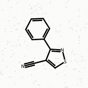 N#Cc1[c]snc1-c1ccccc1